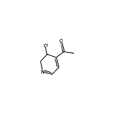 CC(=O)C1=CC=NCC1Cl